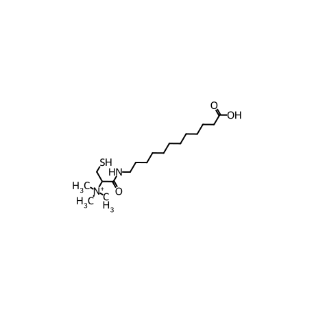 C[N+](C)(C)C(CS)C(=O)NCCCCCCCCCCCC(=O)O